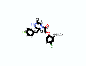 CC(=O)Nc1cc(Cl)ccc1OCC(=O)N1CC(C)NCC1(C)Cc1ccc(F)cc1